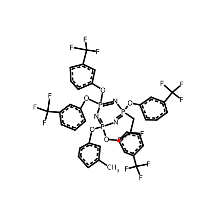 Cc1cccc(OP2(Oc3cccc(C(F)(F)F)c3)=NP(Oc3cccc(C(F)(F)F)c3)(Oc3cccc(C(F)(F)F)c3)=NP(CC(F)F)(Oc3cccc(C(F)(F)F)c3)=N2)c1